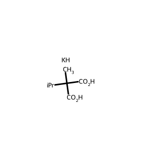 CC(C)C(C)(C(=O)O)C(=O)O.[KH]